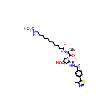 Cc1ncsc1-c1ccc([C@H](C)NC(=O)[C@@H]2C[C@@H](O)CN2C(=O)[C@@H](NC(=O)CCCCCCCCCCNC(=O)O)C(C)(C)C)cc1